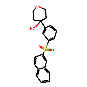 O=S(=O)(c1cccc(C2(O)CCOCC2)c1)c1ccc2ccccc2c1